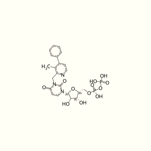 Cc1c(-c2ccccc2)ccnc1Cn1c(=O)ccn([C@@H]2O[C@H](COP(=O)(O)OP(=O)(O)O)[C@H](O)C2O)c1=O